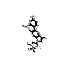 CCC(CN(C)S(C)(=O)=O)n1cc(C)c2nc(-c3ccc(C(C)C)nc3OC)c(C)nc21